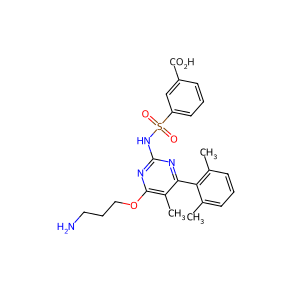 Cc1cccc(C)c1-c1nc(NS(=O)(=O)c2cccc(C(=O)O)c2)nc(OCCCN)c1C